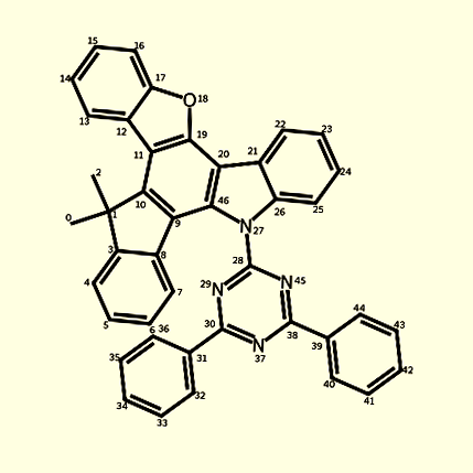 CC1(C)c2ccccc2-c2c1c1c3ccccc3oc1c1c3ccccc3n(-c3nc(-c4ccccc4)nc(-c4ccccc4)n3)c21